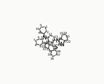 c1ccc(N(c2ccccc2)c2ccc3c(c2)C2(Sc4nc5ccccc5n4-3)c3ccccc3-c3ccccc32)cc1